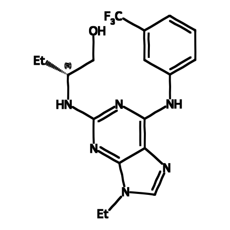 CC[C@H](CO)Nc1nc(Nc2cccc(C(F)(F)F)c2)c2ncn(CC)c2n1